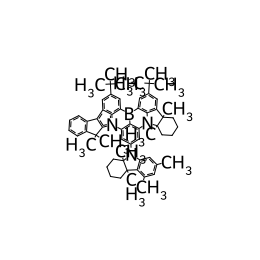 Cc1cc(C)c2c(c1)N(c1cc3c4c(c1)-n1c5c(c6cc(C(C)(C)C)cc(c61)B4c1cc(C(C)(C)C)cc4c1N3C1(C)CCCCC41C)-c1ccccc1C5(C)C)C1(C)CCCCC21C